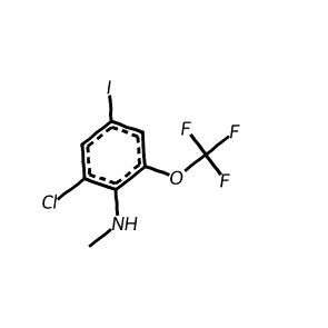 CNc1c(Cl)cc(I)cc1OC(F)(F)F